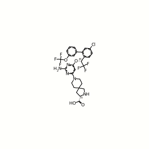 Nc1nc(O[C@H](c2ccc(Cl)cc2-c2cccc(OC(F)(F)F)c2)C(F)(F)F)cc(N2CCC3(CC2)CN[C@H](C(=O)O)C3)n1